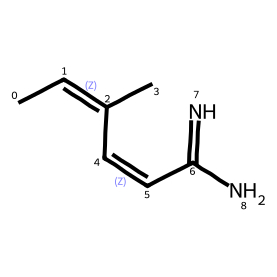 C/C=C(C)\C=C/C(=N)N